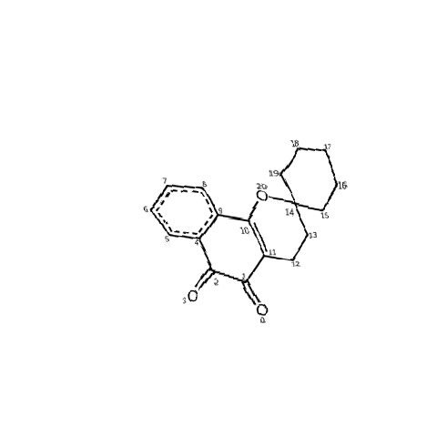 O=C1C(=O)c2ccccc2C2=C1CCC1(CCCCC1)O2